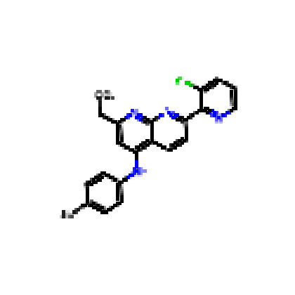 CC(C)COCc1cc(Nc2ccc(C(C)(C)C)cc2)c2ccc(-c3ncccc3Cl)nc2n1